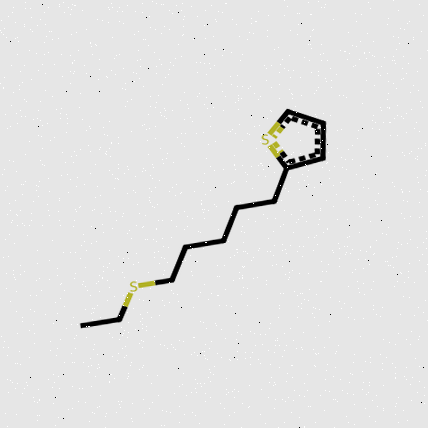 CCSCCCCCc1cccs1